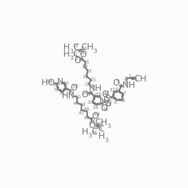 C#CCNC(=O)c1cccc(S(=O)(=O)n2cc(C(=O)NCCCCCCC(=O)OC(C)(C)C)ccc2=O)c1.CC(C)(C)OC(=O)CCCCCCNC(=O)c1ccc(O)nc1